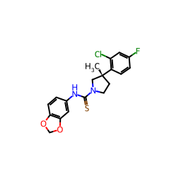 C[C@@]1(c2ccc(F)cc2Cl)CCN(C(=S)Nc2ccc3c(c2)OCO3)C1